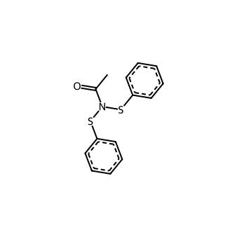 CC(=O)N(Sc1ccccc1)Sc1ccccc1